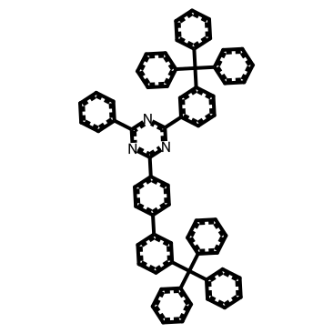 c1ccc(-c2nc(-c3ccc(-c4cccc(C(c5ccccc5)(c5ccccc5)c5ccccc5)c4)cc3)nc(-c3cccc(C(c4ccccc4)(c4ccccc4)c4ccccc4)c3)n2)cc1